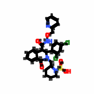 O=C(NOCc1ccccn1)C1c2ccccc2C(=O)N(CC2CCCCN2S(=O)O)C1c1ccc(Cl)cc1Cl